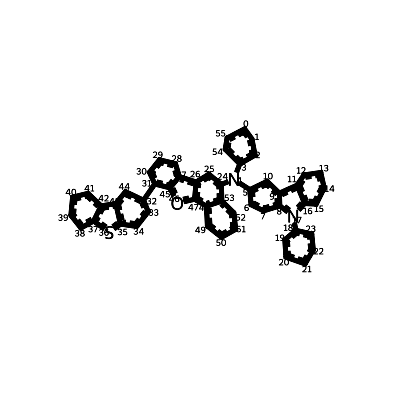 c1ccc(N(c2ccc3c(c2)c2ccccc2n3-c2ccccc2)c2cc3c4cccc(-c5ccc6sc7ccccc7c6c5)c4oc3c3ccccc23)cc1